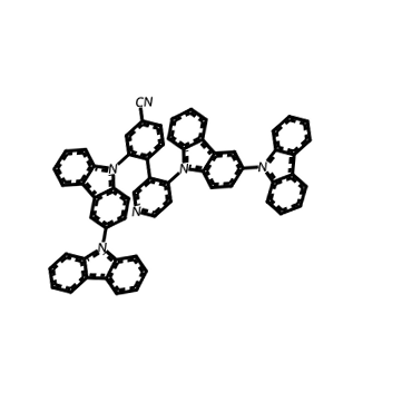 N#Cc1ccc(-c2cnccc2-n2c3ccccc3c3cc(-n4c5ccccc5c5ccccc54)ccc32)c(-n2c3ccccc3c3cc(-n4c5ccccc5c5ccccc54)ccc32)c1